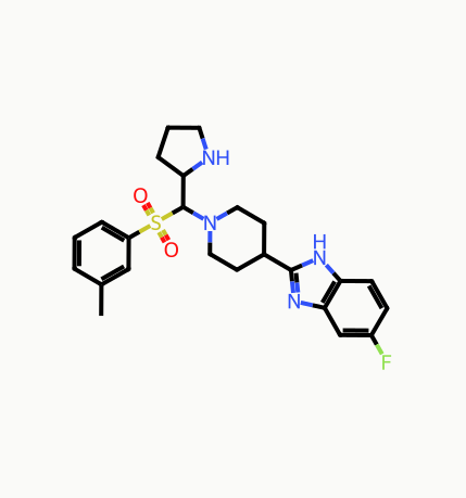 Cc1cccc(S(=O)(=O)C(C2CCCN2)N2CCC(c3nc4cc(F)ccc4[nH]3)CC2)c1